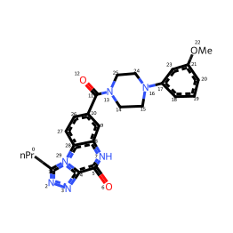 CCCc1nnc2c(=O)[nH]c3cc(C(=O)N4CCN(c5cccc(OC)c5)CC4)ccc3n12